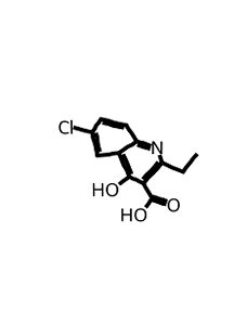 CCc1nc2ccc(Cl)cc2c(O)c1C(=O)O